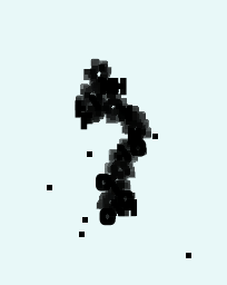 C[C@@H]1Cc2c([nH]c3ccccc23)[C@@H](c2c(F)cc(N3CCC4(CCN(C(=O)CN5Cc6cc7c(cc6C5)C(=O)N(C5CCC(=O)NC5=O)C7)C4)C3)cc2F)N1CC(F)F